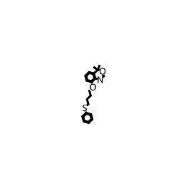 CC1(C)OC=Nc2c(OCCCCSc3ccccc3)cccc21